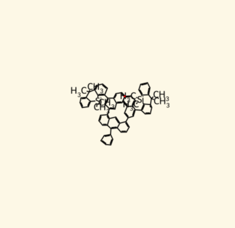 CC1(C)c2ccccc2[Si](C)(C)c2c(-c3cc(-c4cccc5c(-c6ccccc6)c6cccc(-c7cc(-c8cccc9c8[Si](C)(C)c8ccccc8C9(C)C)c8ccccc8c7)c6cc45)cc4ccccc34)cccc21